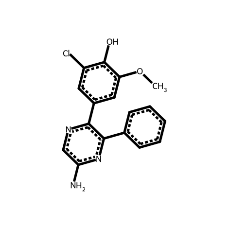 COc1cc(-c2ncc(N)nc2-c2ccccc2)cc(Cl)c1O